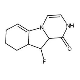 O=C1NC=CN2C3=CCCCC3C(F)C12